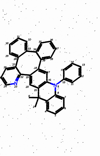 CC1(C)c2ccccc2N(c2ccccc2)c2cc3c(cc21)-c1ncccc1-c1ccccc1-c1ccccc1-3